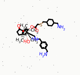 C[C@@H]1CC[C@@]23CCC(=O)C2[C@]1(C)[C@H](OC(=O)CSCC1CCC(CN)CC1)C[C@](C)(CNCc1ccc(CN)cc1)[C@@H](O)[C@@H]3C